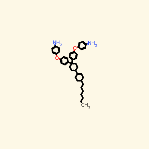 CCCCCCCC1CCC(C2CCC(c3ccc(Oc4ccc(N)cc4)cc3)(c3ccc(Oc4ccc(N)cc4)cc3)CC2)CC1